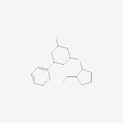 CCC1CCCC1NC1CC(O)CC(c2ccccc2)C1